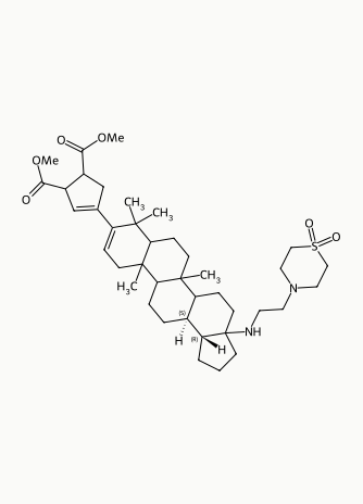 COC(=O)C1C=C(C2=CCC3(C)C(CCC4(C)C5CCC6(NCCN7CCS(=O)(=O)CC7)CCC[C@@H]6[C@H]5CCC43)C2(C)C)CC1C(=O)OC